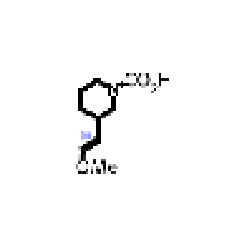 CO/C=C/C1CCCN(C(=O)O)C1